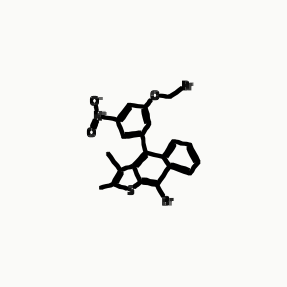 Cc1sc2c(Br)c3ccccc3c(-c3cc(OCBr)cc([N+](=O)[O-])c3)c2c1C